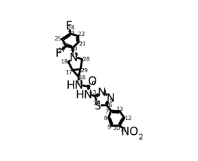 O=C(Nc1nnc(-c2ccc([N+](=O)[O-])cc2)s1)NC1C2CN(c3ccc(F)cc3F)CC21